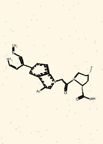 C=N/C=C(\C=C/N)c1ccc2c(c1)c(C(C)=O)cn2CC(=O)N1C[C@H](F)C[C@H]1C(=O)NC